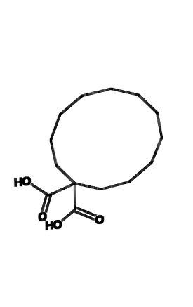 O=C(O)C1(C(=O)O)CCCCCCCCCCC1